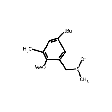 COc1c(C)cc(C(C)(C)C)cc1C[S+](C)[O-]